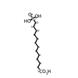 O=C(O)CCCCCCCCCCC[CH]P(=O)(O)O